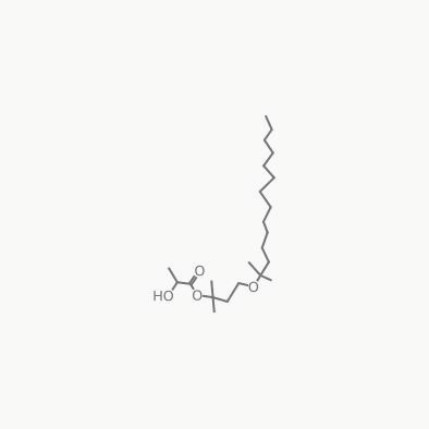 CCCCCCCCCCCCC(C)(C)OCCC(C)(C)OC(=O)C(C)O